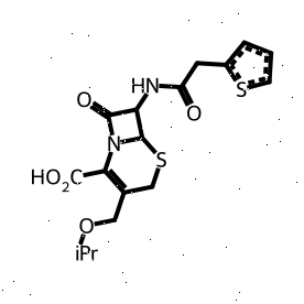 CC(C)OCC1=C(C(=O)O)N2C(=O)C(NC(=O)Cc3cccs3)C2SC1